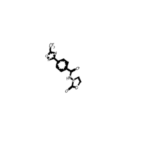 O=C(NN1CCOC1=O)c1ccc(-c2noc(C(F)(F)F)n2)cc1